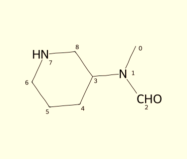 CN(C=O)C1CCCNC1